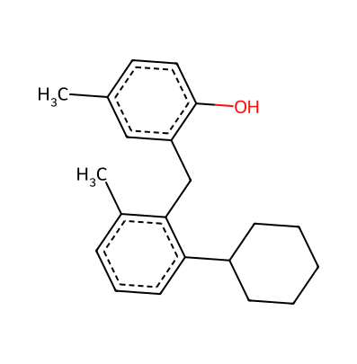 Cc1ccc(O)c(Cc2c(C)cccc2C2CCCCC2)c1